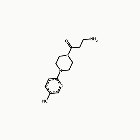 N#Cc1ccc(N2CCN(C(=O)CCN)CC2)nc1